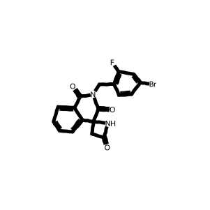 O=C1CC2(N1)C(=O)N(Cc1ccc(Br)cc1F)C(=O)c1ccccc12